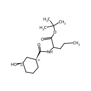 CCCC(NC(=O)[C@H]1CCC[C@@H](O)C1)C(=O)OC(C)(C)C